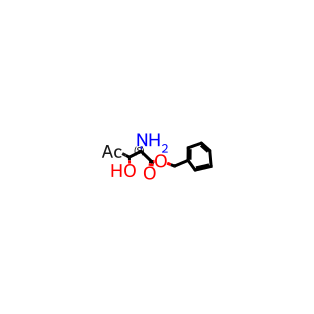 CC(=O)C(O)[C@H](N)C(=O)OCc1ccccc1